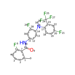 Cc1cccc(F)c1C(=O)Nc1ccc(N(C)c2ccc(F)cc2C(F)(F)F)c(F)c1